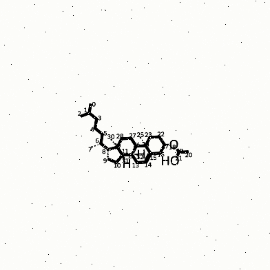 CC(C)CCC[C@@H](C)[C@H]1CC[C@H]2[C@@H]3CC=C4C[C@@H](OC(C)O)CC[C@]4(C)C3CC[C@]12C